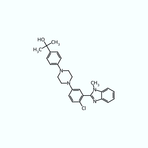 Cn1c(-c2cc(N3CCN(c4ccc(C(C)(C)O)cc4)CC3)ccc2Cl)nc2ccccc21